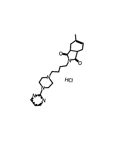 CC1=CCC2C(=O)N(CCCCN3CCN(c4ncccn4)CC3)C(=O)C2C1.Cl